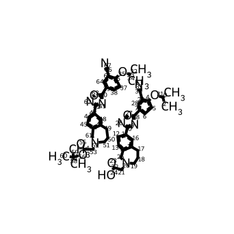 CC(C)Oc1ccc(-c2nc(-c3ccc4c(c3)CCCN(CC(=O)O)C4)no2)cc1C#N.CC(C)Oc1ccc(-c2nc(-c3ccc4c(c3)CCCN(CC(=O)OC(C)(C)C)C4)no2)cc1C#N